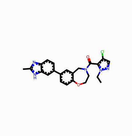 CCn1ncc(Cl)c1C(=O)N1CCOc2ccc(-c3ccc4nc(C)[nH]c4c3)cc2C1